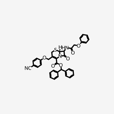 N#Cc1ccc(OCC2=C(C(=O)OC(c3ccccc3)c3ccccc3)N3C(=O)C(NC(=O)COc4ccccc4)[C@H]3SC2)cc1